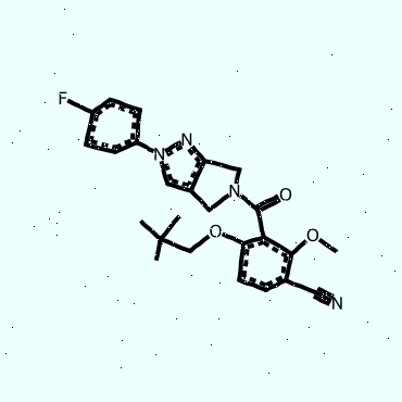 COc1c(C#N)ccc(OCC(C)(C)C)c1C(=O)N1Cc2cn(-c3ccc(F)cc3)nc2C1